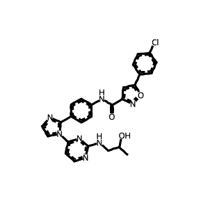 CC(O)CNc1nccc(-n2ccnc2-c2ccc(NC(=O)c3cc(-c4ccc(Cl)cc4)on3)cc2)n1